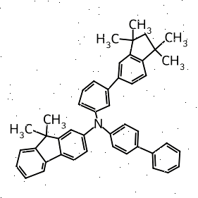 CC1(C)CC(C)(C)c2cc(-c3cccc(N(c4ccc(-c5ccccc5)cc4)c4ccc5c(c4)C(C)(C)c4ccccc4-5)c3)ccc21